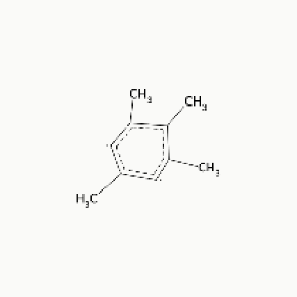 Cc1[c]c(C)c(C)c(C)[c]1